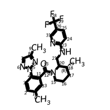 Cc1ccc(-n2ncc(C)n2)c(C(=O)N2CCC[C@@H](C)C2CNc2ccc(C(F)(F)F)cn2)c1